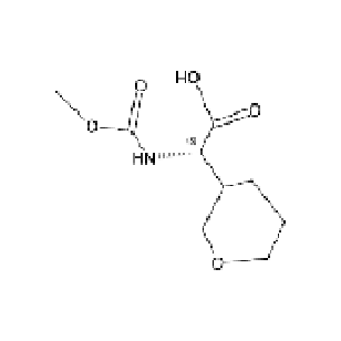 COC(=O)N[C@H](C(=O)O)C1CCCOC1